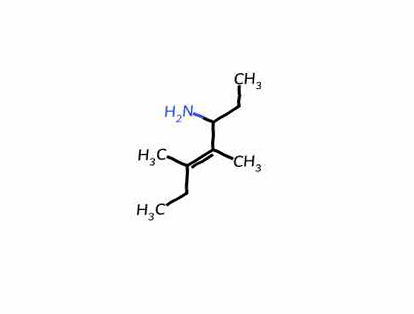 CC/C(C)=C(\C)C(N)CC